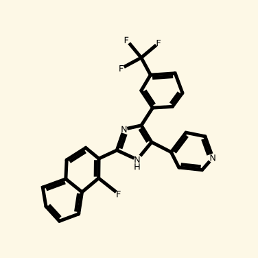 Fc1c(-c2nc(-c3cccc(C(F)(F)F)c3)c(-c3ccncc3)[nH]2)ccc2ccccc12